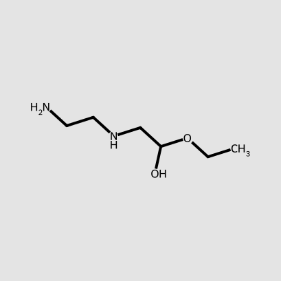 CCOC(O)CNCCN